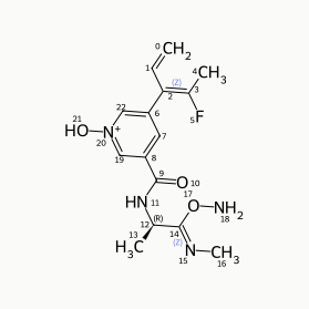 C=C/C(=C(\C)F)c1cc(C(=O)N[C@H](C)/C(=N/C)ON)c[n+](O)c1